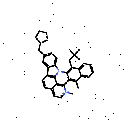 Cc1c2ccccc2c(CC(C)(C)C)c2c1c1c3c(ccc4c5cc(CC6CCCC6)ccc5n2c43)cc[n+]1C